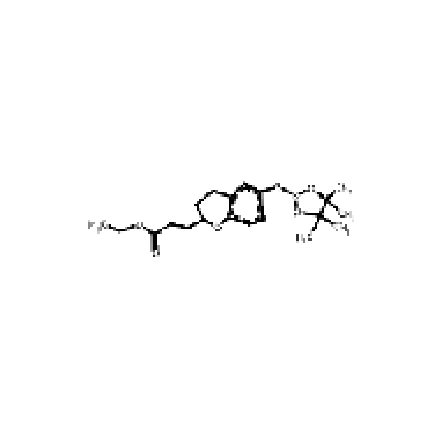 CCOC(=O)CCC1CCc2cc(SB3OC(C)(C)C(C)(C)O3)ccc2O1